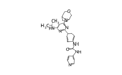 CC(C)Nc1cc(N2C3CCC2COC3)nc(-c2ccc(NC(=O)Nc3ccncc3)cc2)n1